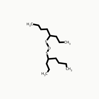 CCCCC(CCC)SOSC(CCC)CCCC